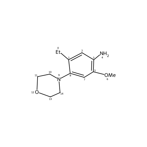 CCc1cc(N)c(OC)cc1N1CCOCC1